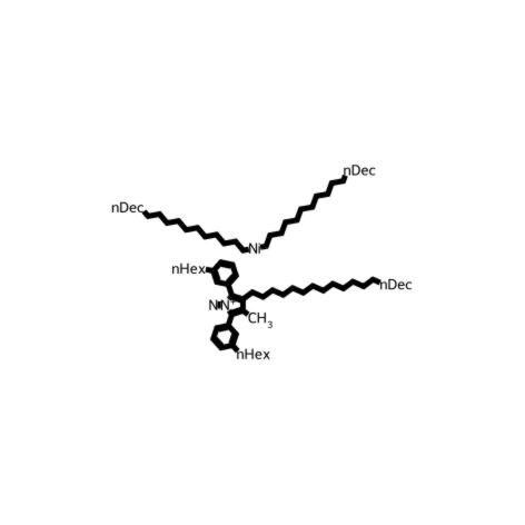 CCCCCCCCCCCCCCCCCCCCCCCC1=C(c2cccc(CCCCCC)c2)[N+](=[N-])C(c2cccc(CCCCCC)c2)=C1C.CCCCCCCCCCCCCCCCCCCC[CH2][Ni][CH2]CCCCCCCCCCCCCCCCCCCC